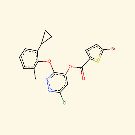 Cc1cccc(C2CC2)c1Oc1nnc(Cl)cc1OC(=O)c1ccc(Br)s1